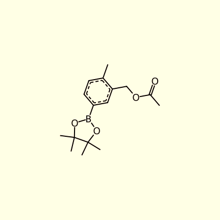 CC(=O)OCc1cc(B2OC(C)(C)C(C)(C)O2)ccc1C